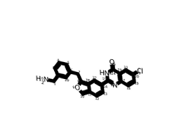 NCc1cccc(Cc2occ3ccc(-c4nc5ccc(Cl)cc5c(=O)[nH]4)cc23)c1